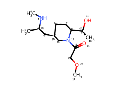 CN[C@H](C)C[C@H]1CCC([C@H](C)O)N(C(=O)COC)C1